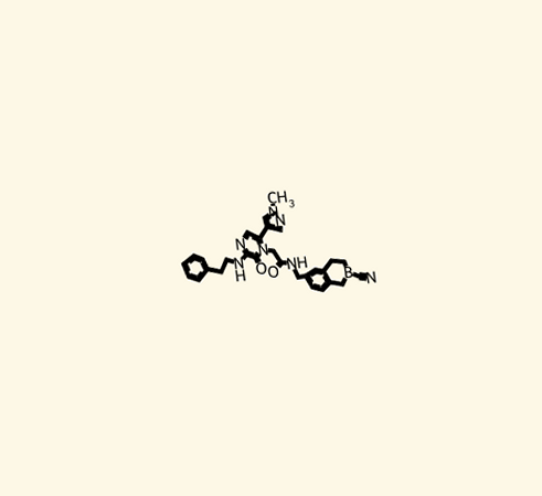 Cn1cc(-c2cnc(NCCc3ccccc3)c(=O)n2CC(=O)NCc2ccc3c(c2)CCB(C#N)C3)cn1